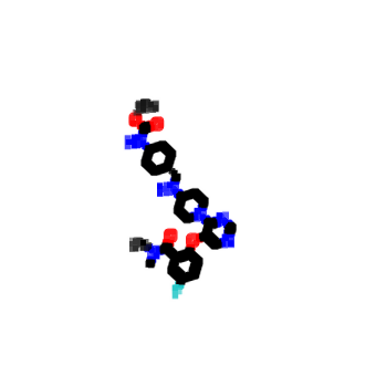 CC(C)N(C)C(=O)c1cc(F)ccc1Oc1cncnc1N1CCC(NC[C@H]2CC[C@H](NC(=O)OC(C)(C)C)CC2)CC1